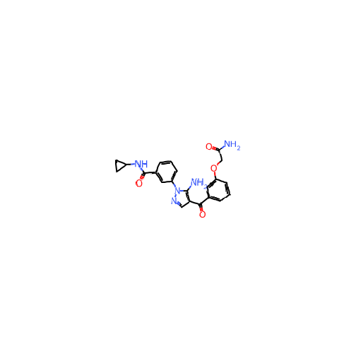 NC(=O)COc1cccc(C(=O)c2cnn(-c3cccc(C(=O)NC4CC4)c3)c2N)c1